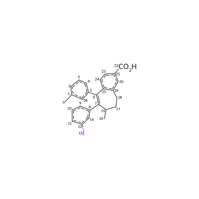 Cc1cccc(C2=C(c3cccc(I)c3)C(C)CCc3cc(C(=O)O)ccc32)c1